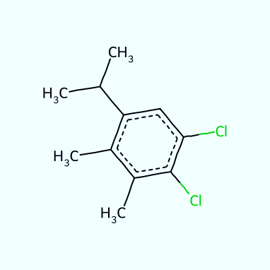 Cc1c(C(C)C)cc(Cl)c(Cl)c1C